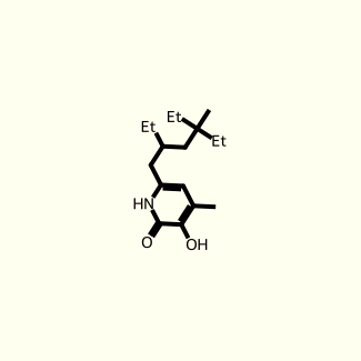 CCC(Cc1cc(C)c(O)c(=O)[nH]1)CC(C)(CC)CC